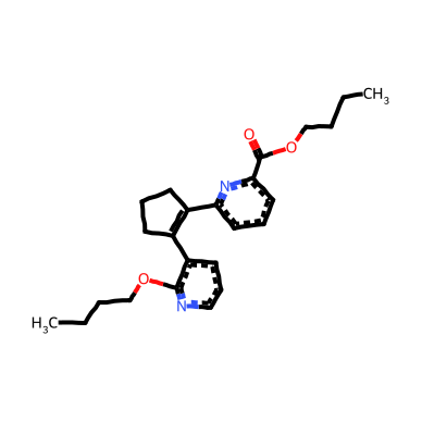 CCCCOC(=O)c1cccc(C2=C(c3cccnc3OCCCC)CCC2)n1